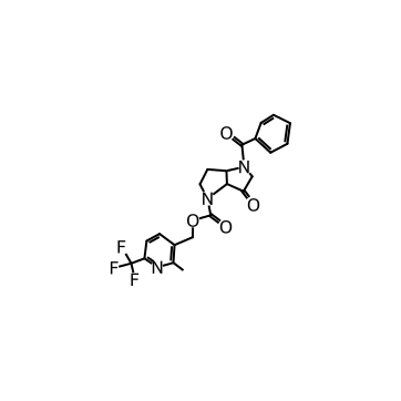 Cc1nc(C(F)(F)F)ccc1COC(=O)N1CCC2C1C(=O)CN2C(=O)c1ccccc1